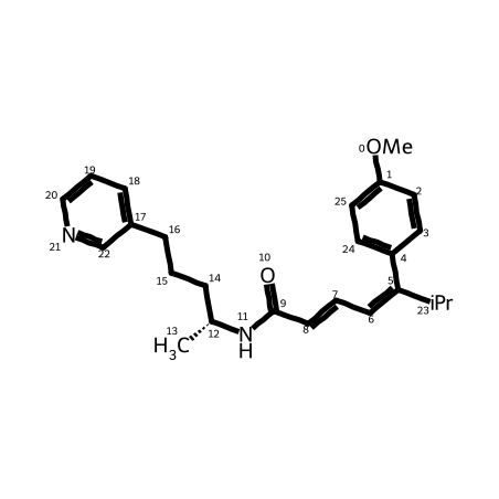 COc1ccc(/C(=C\C=C\C(=O)N[C@H](C)CCCc2cccnc2)C(C)C)cc1